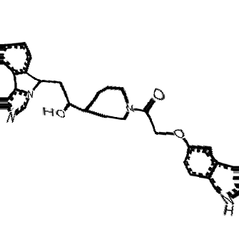 O=C(COc1ccc2[nH]ccc2c1)N1CCC(C(O)CC2c3ccccc3-c3cncn32)CC1